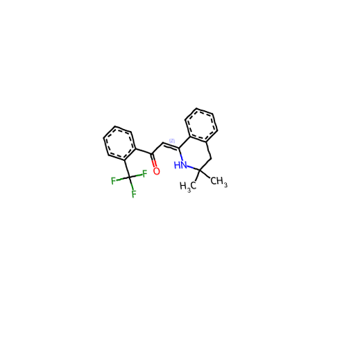 CC1(C)Cc2ccccc2/C(=C/C(=O)c2ccccc2C(F)(F)F)N1